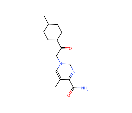 CC1=CN(CC(=O)C2CCC(C)CC2)CN=C1C(N)=O